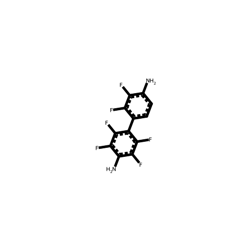 Nc1ccc(-c2c(F)c(F)c(N)c(F)c2F)c(F)c1F